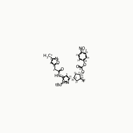 Cc1cc(CC(=O)Nc2cc([C@@H]3C[C@H](OC(=O)Oc4ccc([N+](=O)[O-])cc4)[C@@H](F)C3)nn2C(C)(C)C)on1